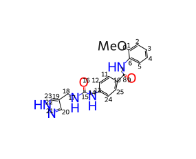 COc1ccccc1NC(=O)c1ccc(NC(=O)NCc2cn[nH]c2)cc1